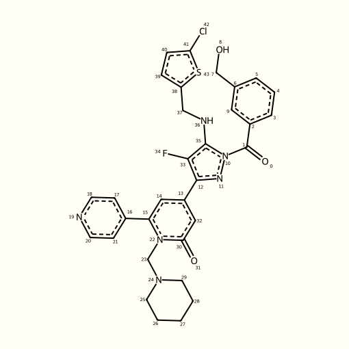 O=C(c1cccc(CO)c1)n1nc(-c2cc(-c3ccncc3)n(CN3CCCCC3)c(=O)c2)c(F)c1NCc1ccc(Cl)s1